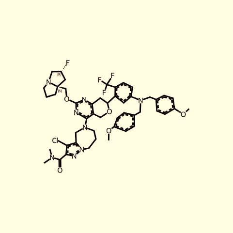 COc1ccc(CN(Cc2ccc(OC)cc2)c2ccc(C(F)(F)F)c(C3Cc4nc(OC[C@@]56CCCN5C[C@H](F)C6)nc(N5CCCn6nc(C(=O)N(C)C)c(Cl)c6C5)c4CO3)c2)cc1